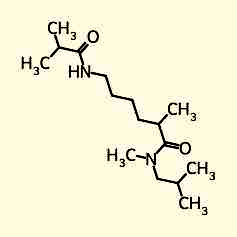 CC(C)CN(C)C(=O)C(C)CCCCNC(=O)C(C)C